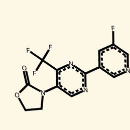 O=C1OCCN1c1cnc(-c2cncc(F)c2)nc1C(F)(F)F